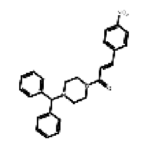 O=C(/C=C/c1ccc([N+](=O)[O-])cc1)N1CCN(C(c2ccccc2)c2ccccc2)CC1